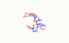 C[C@H](NC(=O)[C@H](CCC(N)=O)NC(=O)[C@@H](N)CO)C(=O)N[C@@H](CO)C(=O)O